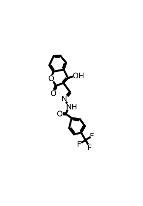 O=C(N/N=C/c1c(O)c2ccccc2oc1=O)c1ccc(C(F)(F)F)cc1